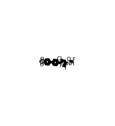 CS(=O)(=O)c1ccc(-c2ccc(-c3nc(I)c(NC(=O)CF)cc3Cl)cc2)cc1